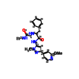 CCNC(=O)CNC(Cc1ccccc1)C(=O)Nc1cc(-c2ccnc(OC)c2)nn1C